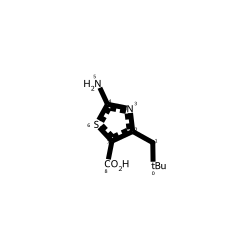 CC(C)(C)Cc1nc(N)sc1C(=O)O